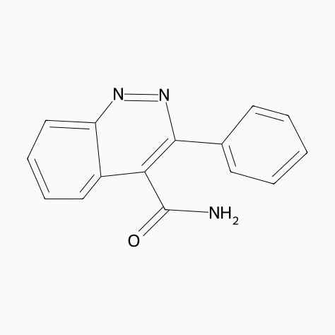 NC(=O)c1c(-c2ccccc2)nnc2ccccc12